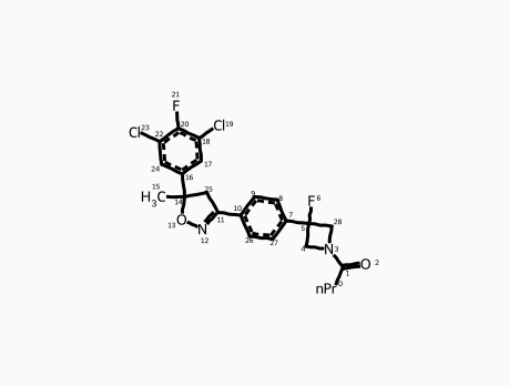 CCCC(=O)N1CC(F)(c2ccc(C3=NOC(C)(c4cc(Cl)c(F)c(Cl)c4)C3)cc2)C1